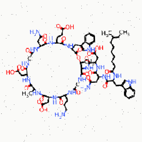 CCC(C)CCCCCCC(=O)NC(Cc1c[nH]c2ccccc12)C(=O)NC(CC(N)=O)C(=O)NC(CC(=O)O)C(=O)NC1C(=O)NCC(=O)NC(CCCN)C(=O)NC(CC(=O)O)C(=O)NC(C)C(=O)NC(CC(=O)O)C(=O)NCC(=O)NC(CC(N)=O)C(=O)NC(CCC(=O)O)C(=O)NC(Cc2c[nH]c3ccccc23)C(=O)OC1C